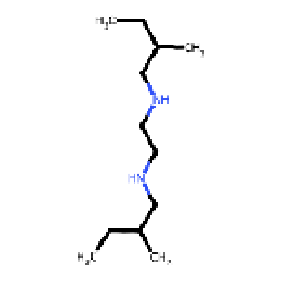 CCC(C)CNCCNCC(C)CC